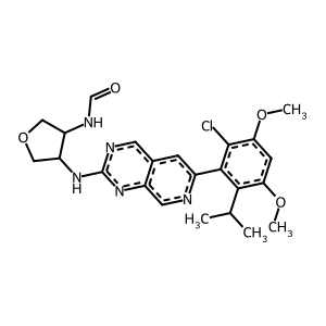 COc1cc(OC)c(C(C)C)c(-c2cc3cnc(NC4COCC4NC=O)nc3cn2)c1Cl